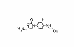 NC[C@H]1CN(c2ccc(NCCO)c(F)c2)C(=O)O1